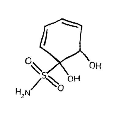 NS(=O)(=O)C1(O)C=CC=CC1O